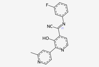 Cc1cc(-c2nccc(/C(C#N)=N/c3cccc(F)c3)c2O)ccn1